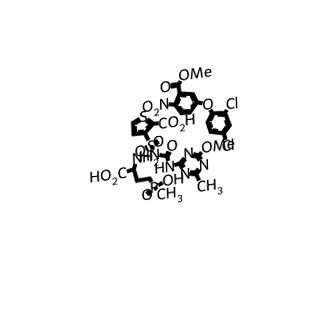 COC(=O)c1cc(Oc2ccc(Cl)cc2Cl)ccc1[N+](=O)[O-].COc1nc(C)nc(NC(=O)NS(=O)(=O)c2ccsc2C(=O)O)n1.CP(=O)(O)CCC(N)C(=O)O